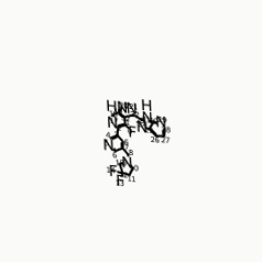 Fc1c(-c2cncc(CN3CCC(F)(F)C3)c2)ncc2[nH]nc(-c3nc4cccnc4[nH]3)c12